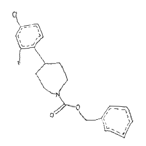 O=C(OCc1ccccc1)N1CCC(c2ccc(Cl)cc2F)CC1